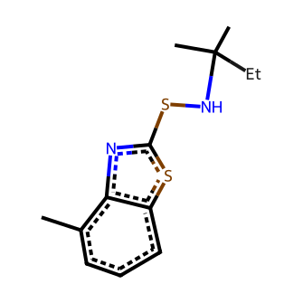 CCC(C)(C)NSc1nc2c(C)cccc2s1